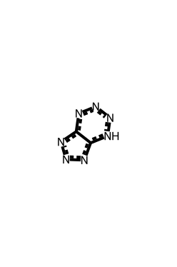 n1n[nH]c2nnnc-2n1